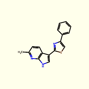 Cc1ccc2c(-c3nc(-c4ccccc4)cs3)c[nH]c2n1